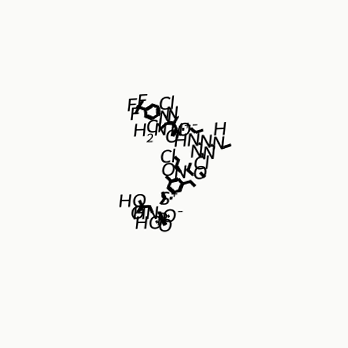 CCNc1nc(Cl)nc(NC(C)C)n1.CCc1cccc(C)c1N(C(=O)CCl)C(C)COC.C[S+](C)C.Nc1c([N+](=O)[O-])cnn1-c1c(Cl)cc(C(F)(F)F)cc1Cl.O=C(O)CNCP(=O)([O-])O